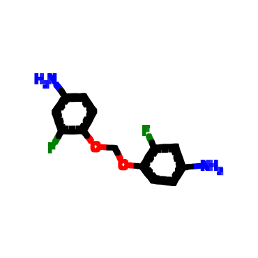 Nc1ccc(OCOc2ccc(N)cc2F)c(F)c1